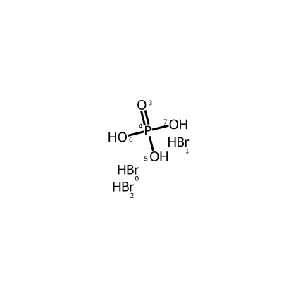 Br.Br.Br.O=P(O)(O)O